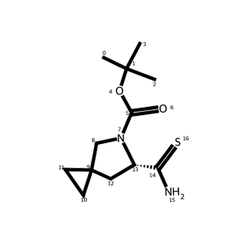 CC(C)(C)OC(=O)N1CC2(CC2)C[C@H]1C(N)=S